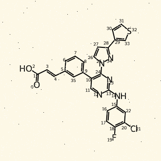 O=C(O)/C=C/c1cccc(-c2cnc(Nc3ccc(F)c(Cl)c3)nc2-n2ccc(-c3ccsc3)n2)c1